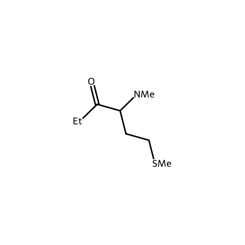 CCC(=O)C(CCSC)NC